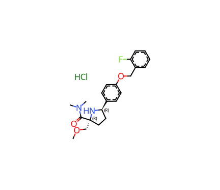 COC[C@@]1(C(=O)N(C)C)CC[C@H](c2ccc(OCc3ccccc3F)cc2)N1.Cl